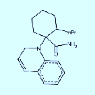 CCCC1CCCCC1(C(N)=O)N1CC=Cc2ccccc21